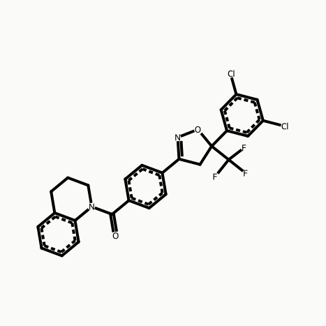 O=C(c1ccc(C2=NOC(c3cc(Cl)cc(Cl)c3)(C(F)(F)F)C2)cc1)N1CCCc2ccccc21